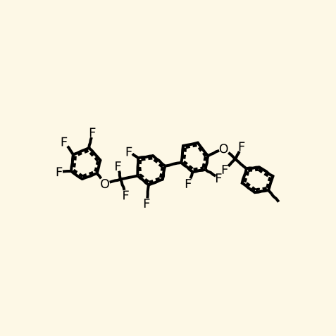 Cc1ccc(C(F)(F)Oc2ccc(-c3cc(F)c(C(F)(F)Oc4cc(F)c(F)c(F)c4)c(F)c3)c(F)c2F)cc1